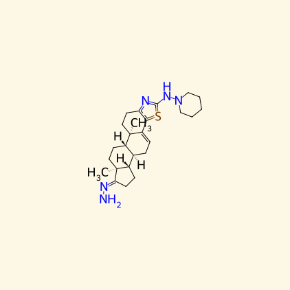 C[C@]12CCc3nc(NN4CCCCC4)sc3C1=CC[C@@H]1[C@@H]2CC[C@]2(C)/C(=N/N)CC[C@@H]12